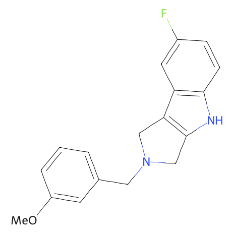 COc1cccc(CN2Cc3[nH]c4ccc(F)cc4c3C2)c1